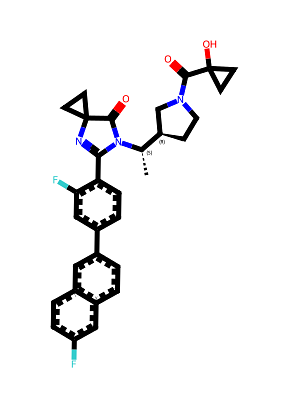 C[C@@H]([C@@H]1CCN(C(=O)C2(O)CC2)C1)N1C(=O)C2(CC2)N=C1c1ccc(-c2ccc3cc(F)ccc3c2)cc1F